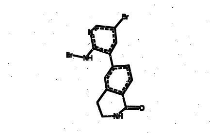 O=C1NCCc2cc(-c3cc(Br)cnc3NBr)ccc21